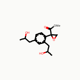 COC(=O)C1(c2ccc(CC(C)O)cc2CC(C)O)CO1